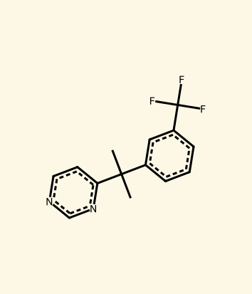 CC(C)(c1cccc(C(F)(F)F)c1)c1ccncn1